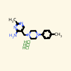 Cc1ccc(N2CCN(Cc3cnc(C)nc3N)CC2)cc1.Cl.Cl.Cl